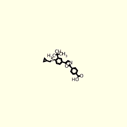 CC(C)(C)c1cc(-c2cnc(-c3ccc(C(=O)O)cc3)o2)ccc1SCC1CC1